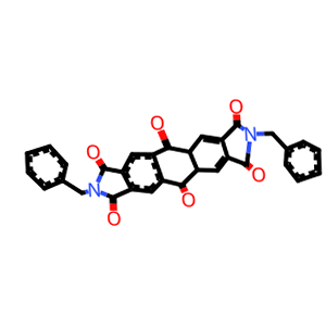 O=C1c2cc3c(cc2C(=O)C2C=C4C(=O)N(Cc5ccccc5)C(=O)C4=CC12)C(=O)N(Cc1ccccc1)C3=O